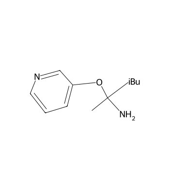 CCC(C)C(C)(N)Oc1cccnc1